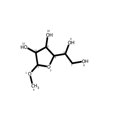 COC1OC(C(O)CO)C(O)C1O